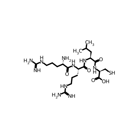 CC(C)C[C@H](NC(=O)[C@H](CCCNC(=N)N)NC(=O)[C@@H](N)CCCNC(=N)N)C(=O)N[C@@H](CS)C(=O)O